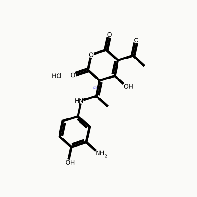 CC(=O)C1=C(O)/C(=C(\C)Nc2ccc(O)c(N)c2)C(=O)OC1=O.Cl